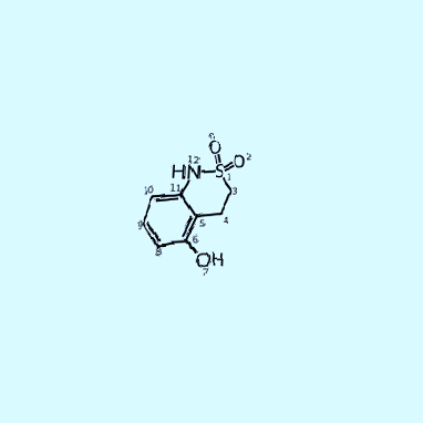 O=S1(=O)CCc2c(O)cccc2N1